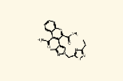 CCc1noc(Cn2cc(-c3c(C(N)=O)nc4ccccc4c3C(N)=O)c(C)n2)n1